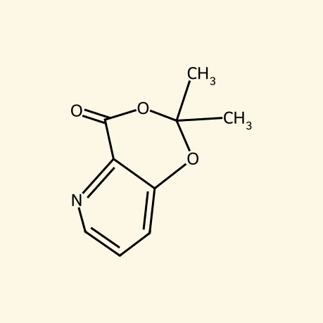 CC1(C)OC(=O)c2ncccc2O1